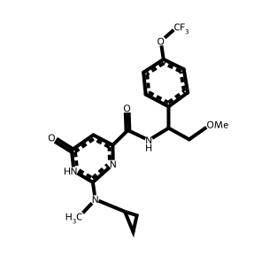 COCC(NC(=O)c1cc(=O)[nH]c(N(C)C2CC2)n1)c1ccc(OC(F)(F)F)cc1